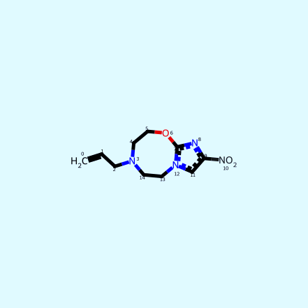 C=CCN1CCOc2nc([N+](=O)[O-])cn2CC1